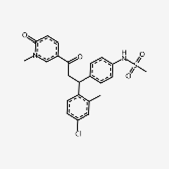 Cc1cc(Cl)ccc1C(CC(=O)c1ccc(=O)n(C)c1)c1ccc(NS(C)(=O)=O)cc1